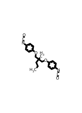 CCCC(C)(COc1ccc(N=C=O)cc1)COc1ccc(N=C=O)cc1